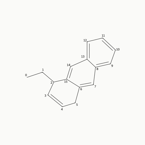 CCC1C=CCc2cc3ccccc3cc21